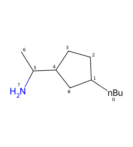 CCCCC1CCC(C(C)N)C1